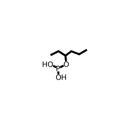 CCCC(CC)OP(O)O